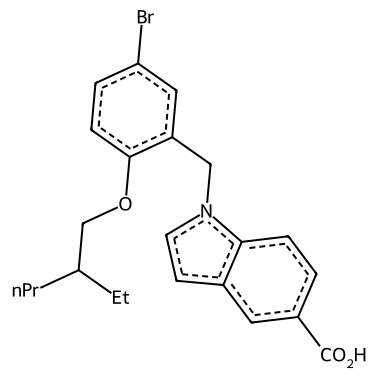 CCCC(CC)COc1ccc(Br)cc1Cn1ccc2cc(C(=O)O)ccc21